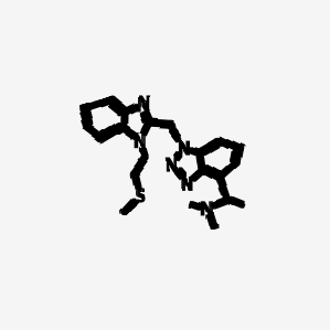 CSCCn1c(Cn2nnc3c(C(C)N(C)C)cccc32)nc2ccccc21